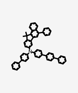 CC1(C)c2ccc(N(c3ccc(-c4ccccc4)cc3)c3ccc(-c4ccc(-c5ccccc5)cc4)cc3)cc2-c2cc(-c3ccccc3)c3ccccc3c21